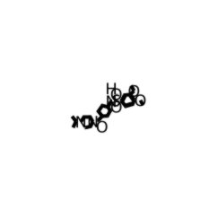 COc1ccc(S(=O)(=O)NC2CCC(C(=O)N3CCN(C(C)C)CC3)CC2)cc1OC